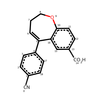 N#Cc1ccc(C2=CCCOc3ccc(C(=O)O)cc32)cc1